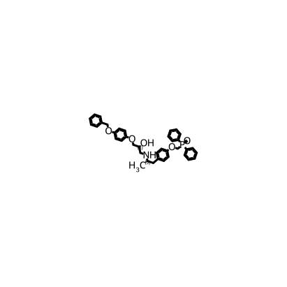 C[C@@H](Cc1ccc(OCP(=O)(c2ccccc2)c2ccccc2)cc1)NC[C@@H](O)COc1ccc(OCc2ccccc2)cc1